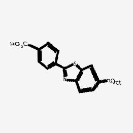 CCCCCCCCc1ccc2nc(-c3ccc(C(=O)O)cc3)sc2c1